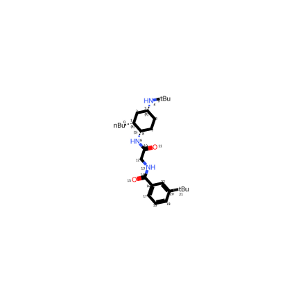 CCCC[C@@H]1C[C@H](NC(C)(C)C)CC[C@@H]1NC(=O)CNC(=O)c1cccc(C(C)(C)C)c1